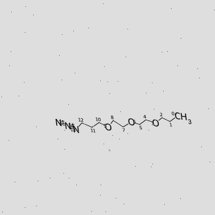 CCCOCCOCCOCCCN=[N+]=[N-]